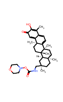 CC1=C(O)C(=O)C=C2C1=CC=C1[C@@]2(C)CC[C@@]2(C)[C@@H]3C[C@](C)(CNC(=O)ON4CCOCC4)CC[C@]3(C)CC[C@]12C